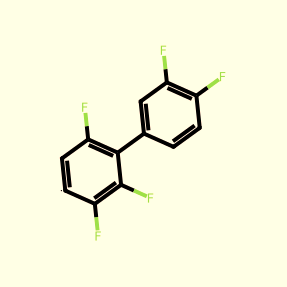 Fc1[c]cc(F)c(-c2ccc(F)c(F)c2)c1F